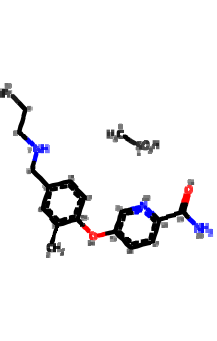 CS(=O)(=O)O.Cc1cc(CNCCC(C)C)ccc1Oc1ccc(C(N)=O)nc1